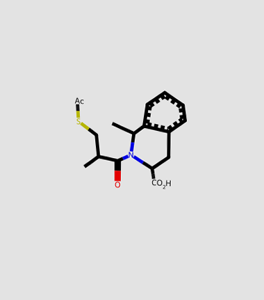 CC(=O)SCC(C)C(=O)N1C(C(=O)O)Cc2ccccc2C1C